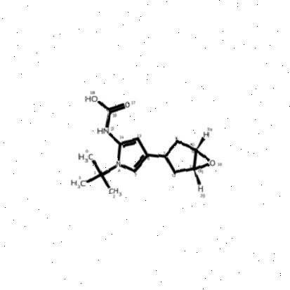 CC(C)(C)n1cc(C2C[C@@H]3O[C@@H]3C2)cc1NC(=O)O